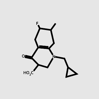 CC1CC2=C(CC1F)C(=O)C(C(=O)O)CN2CC1CC1